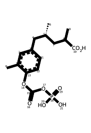 Cc1cc(C[C@H](C)CC(C)C(=O)O)ccc1OC(=O)OP(=O)(O)O